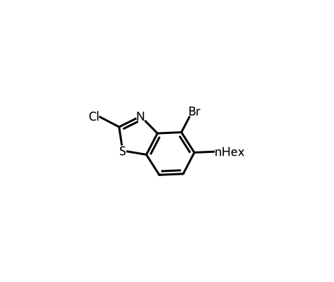 CCCCCCc1ccc2sc(Cl)nc2c1Br